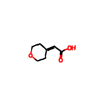 O=C(O)C=C1CCOCC1